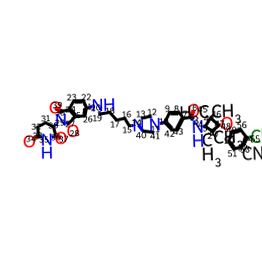 CC1(C)C(NC(=O)c2ccc(N3CCN(CCCCCNc4ccc5c(c4)C(=O)N(C4CCC(=O)NC4=O)C5=O)CC3)cc2)C(C)(C)C1Oc1ccc(C#N)c(Cl)c1